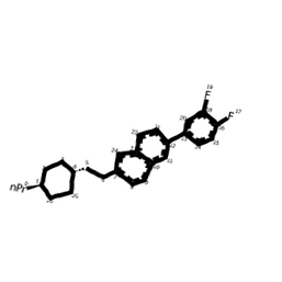 CCC[C@H]1CC[C@H](CCc2ccc3cc(-c4ccc(F)c(F)c4)ccc3c2)CC1